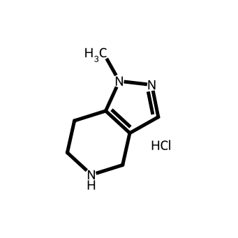 Cl.Cn1ncc2c1CCNC2